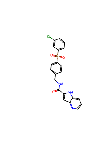 O=C(NCc1ccc(S(=O)(=O)c2cccc(Cl)c2)cc1)c1cc2ncccc2[nH]1